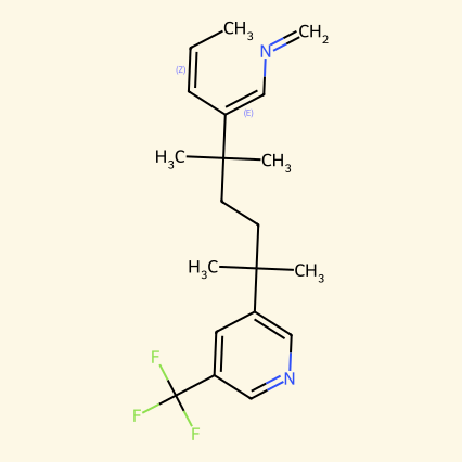 C=N/C=C(\C=C/C)C(C)(C)CCC(C)(C)c1cncc(C(F)(F)F)c1